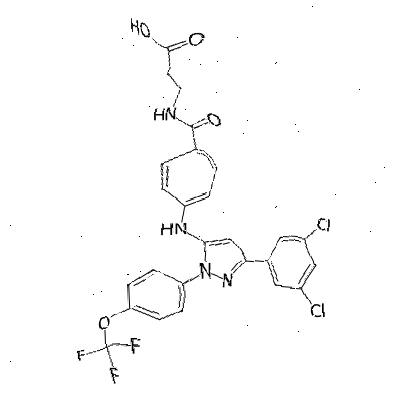 O=C(O)CCNC(=O)c1ccc(Nc2cc(-c3cc(Cl)cc(Cl)c3)nn2-c2ccc(OC(F)(F)F)cc2)cc1